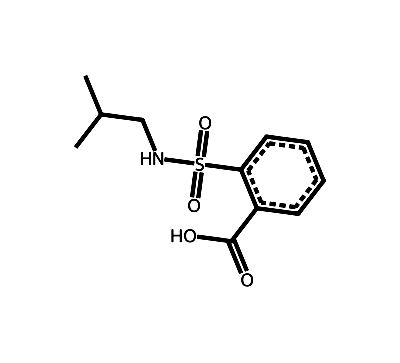 CC(C)CNS(=O)(=O)c1ccccc1C(=O)O